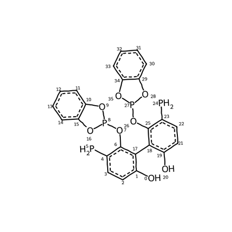 Oc1ccc(P)c(OP2Oc3ccccc3O2)c1-c1c(O)ccc(P)c1OP1Oc2ccccc2O1